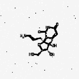 NC=CC[C@@]1(n2ccc(=O)[nH]c2=O)O[C@H](CO)[C@@H](O)[C@]1(O)F